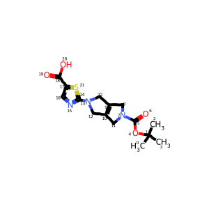 CC(C)(C)OC(=O)N1CC2=C(C1)CN(c1ncc(C(=O)O)s1)C2